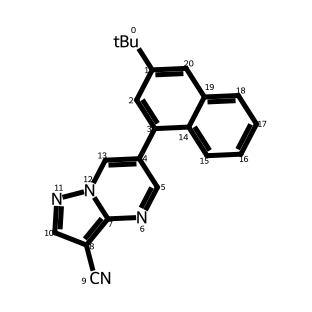 CC(C)(C)c1cc(-c2cnc3c(C#N)cnn3c2)c2ccccc2c1